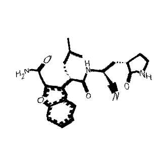 CC(C)C[C@H](C(=O)N[C@H](C#N)C[C@@H]1CCNC1=O)c1c(C(N)=O)oc2ccccc12